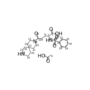 CC(=O)O.O=C(O)C(CCC(=O)N1CCC2(CCNCC2)CC1)NS(=O)(=O)c1ccccc1